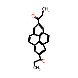 CCC(=O)c1cc2ccc3cc(C(=O)CC)cc4ccc(c1)c2c34